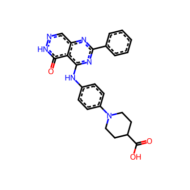 O=C(O)C1CCN(c2ccc(Nc3nc(-c4ccccc4)nc4cn[nH]c(=O)c34)cc2)CC1